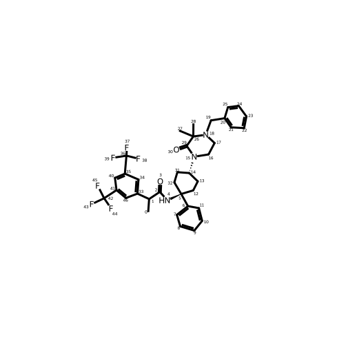 CC(C(=O)N[C@]1(c2ccccc2)CC[C@@H](N2CCN(Cc3ccccc3)C(C)(C)C2=O)CC1)c1cc(C(F)(F)F)cc(C(F)(F)F)c1